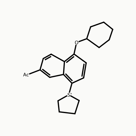 CC(=O)c1ccc2c(OC3CCCCC3)ccc([S+]3CCCC3)c2c1